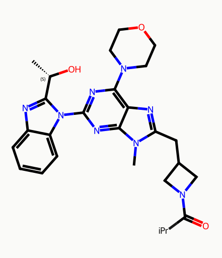 CC(C)C(=O)N1CC(Cc2nc3c(N4CCOCC4)nc(-n4c([C@H](C)O)nc5ccccc54)nc3n2C)C1